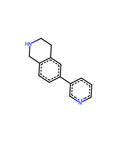 [c]1cncc(-c2ccc3c(c2)CCNC3)c1